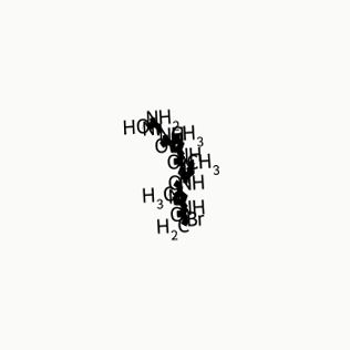 C=C(Br)C(=O)Nc1cc(C(=O)Nc2cc(C(=O)Nc3cc(C(=O)NCCC(N)=NO)n(C)c3)n(C)c2)n(C)c1